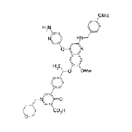 COc1ccc(CNc2cc(Oc3ccc(N)nc3)c3cc(OC(C)c4ccc(-c5cn(CC6CCOCC6)cc(C(=O)O)c5=O)cc4)c(OC)cc3n2)cc1